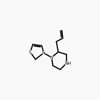 C=CCC1CNCCN1N1[CH]SC=C1